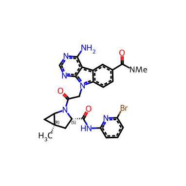 CNC(=O)c1ccc2c(c1)c1c(N)ncnc1n2CC(=O)N1C2C[C@]2(C)C[C@H]1C(=O)Nc1cccc(Br)n1